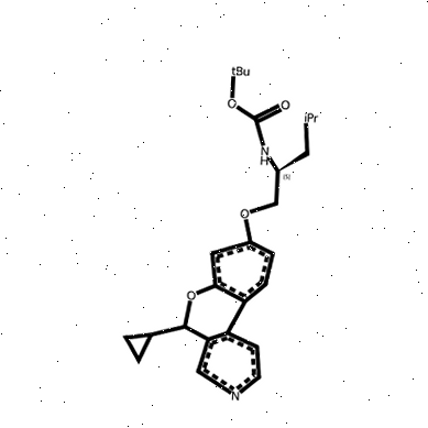 CC(C)C[C@@H](COc1ccc2c(c1)OC(C1CC1)c1cnccc1-2)NC(=O)OC(C)(C)C